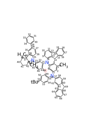 Cc1cc2c3c(c1)N(c1cccc4c1Cc1ccccc1-4)c1cc(N4c5ccc(-c6ccccc6)cc5C5(C)CCCCC45C)ccc1B3c1cc(C(C)(C)C)ccc1N2c1ccc2c(c1)-c1ccccc1C2